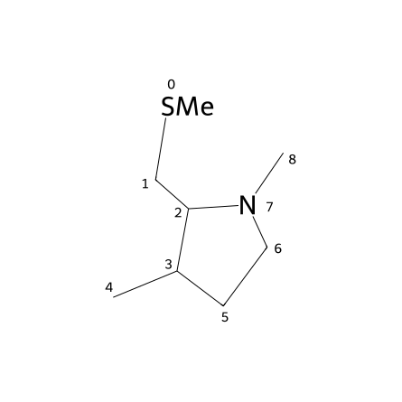 CSCC1C(C)CCN1C